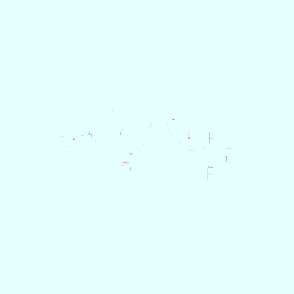 O=C(c1ccc(OC(F)(F)C(F)F)cc1)c1cccc(Cl)c1